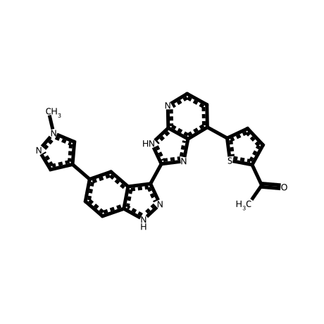 CC(=O)c1ccc(-c2ccnc3[nH]c(-c4n[nH]c5ccc(-c6cnn(C)c6)cc45)nc23)s1